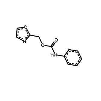 O=C(Nc1ccccc1)OCc1ncco1